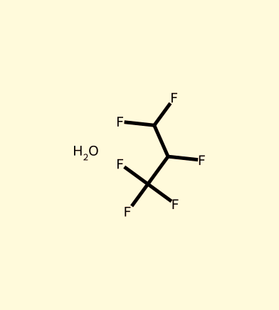 FC(F)C(F)C(F)(F)F.O